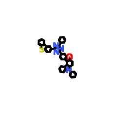 C1=CC2C(c3ccccc3N2c2ccccc2)c2c1oc1cc(-c3nc(-c4ccccc4)nc(-c4ccc5sc6ccccc6c5c4)n3)ccc21